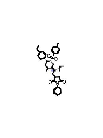 CCO/C(CC1CC(=O)N(c2ccccc2)C1=O)=C1\CN(S(=O)(=O)c2ccc(C)cc2)[C@@H](c2ccc(CC)cc2)CC1C